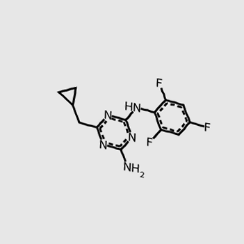 Nc1nc(CC2CC2)nc(Nc2c(F)cc(F)cc2F)n1